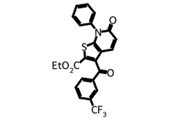 CCOC(=O)c1sc2c(ccc(=O)n2-c2ccccc2)c1C(=O)c1cccc(C(F)(F)F)c1